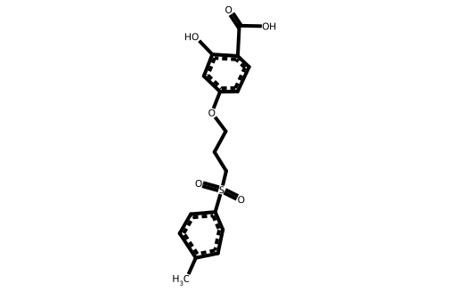 Cc1ccc(S(=O)(=O)CCCOc2ccc(C(=O)O)c(O)c2)cc1